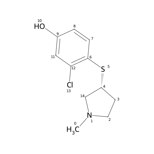 CN1CC[C@@H](Sc2ccc(O)cc2Cl)C1